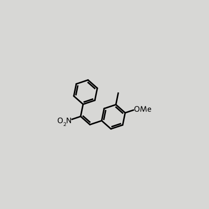 COc1ccc(C=C(c2ccccc2)[N+](=O)[O-])cc1C